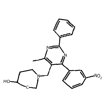 Cc1nc(-c2ccccc2)nc(-c2cccc([N+](=O)[O-])c2)c1CN1CCC(O)CC1